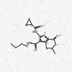 CCCCNC(=O)c1c(NC(=O)C2CC2)sc2c1CC(C)CC2=O